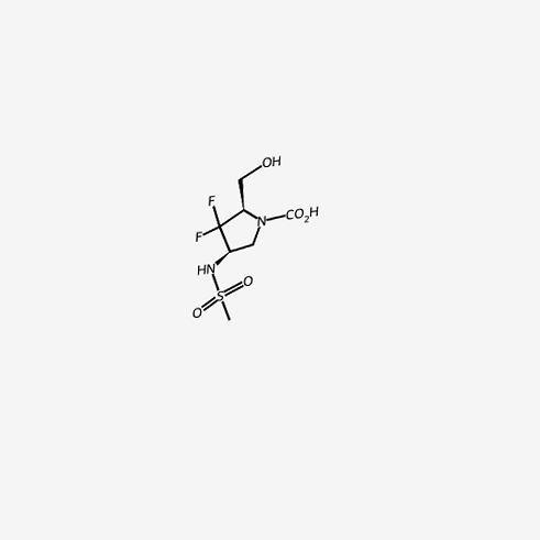 CS(=O)(=O)N[C@@H]1CN(C(=O)O)[C@H](CO)C1(F)F